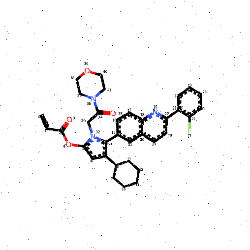 C=CC(=O)Oc1cc(C2CCCCC2)c(-c2ccc3nc(-c4ccccc4F)ccc3c2)n1CC(=O)N1CCOCC1